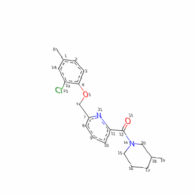 Cc1ccc(OCc2cccc(C(=O)N3CCCC(C)C3)n2)c(Cl)c1